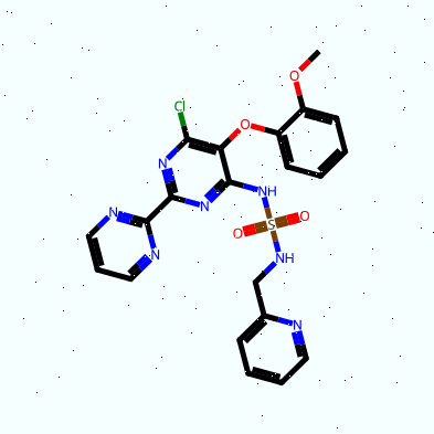 COc1ccccc1Oc1c(Cl)nc(-c2ncccn2)nc1NS(=O)(=O)NCc1ccccn1